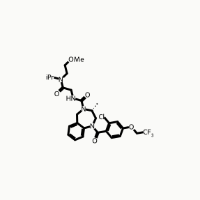 COCCN(C(=O)CNC(=O)N1Cc2ccccc2N(C(=O)c2ccc(OCC(F)(F)F)cc2Cl)C[C@H]1C)C(C)C